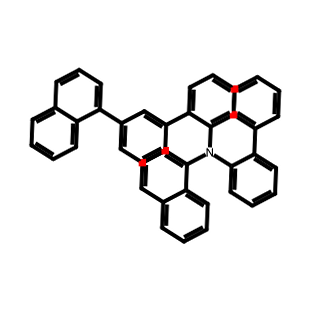 c1ccc(-c2ccccc2N(c2ccccc2-c2cccc(-c3cccc4ccccc34)c2)c2cccc3ccccc23)cc1